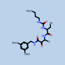 CCC(NC(=O)C(CC(C)C)NC(=O)NCCCOC)C(=O)C(=O)NCc1cc(OC)cc(OC)c1